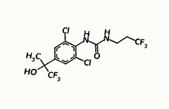 CC(O)(c1cc(Cl)c(NC(=O)NCCC(F)(F)F)c(Cl)c1)C(F)(F)F